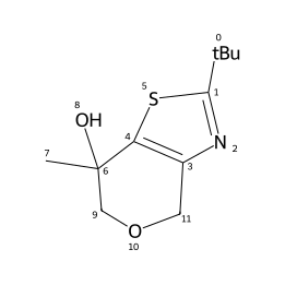 CC(C)(C)c1nc2c(s1)C(C)(O)COC2